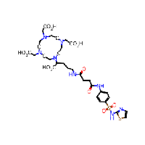 O=C(O)CN1CCN(CC(=O)O)CCN(C(CCCNC(=O)CCC(=O)Nc2ccc(S(=O)(=O)Nc3nccs3)cc2)C(=O)O)CCN(CC(=O)O)CC1